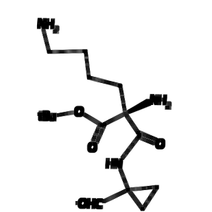 CC(C)(C)OC(=O)[C@](N)(CCCCN)C(=O)NC1([C]=O)CC1